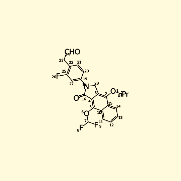 CC(C)Oc1c2c(c(OC(F)F)c3ccccc13)C(=O)N(c1ccc(CC=O)c(F)c1)C2